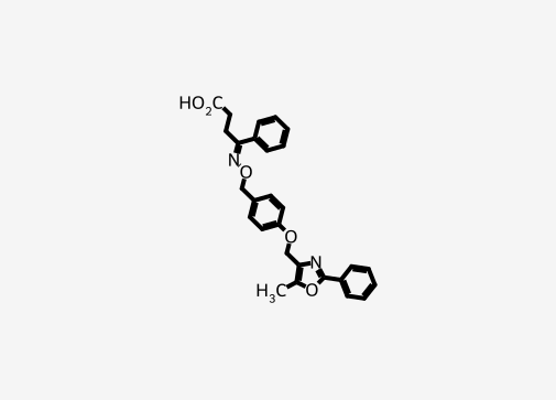 Cc1oc(-c2ccccc2)nc1COc1ccc(CON=C(CCC(=O)O)c2ccccc2)cc1